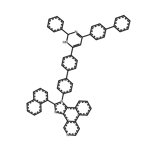 C1=C(c2ccc(-c3ccc(-n4c(-c5cccc6ccccc56)nc5c6cnccc6c6ccccc6c54)cc3)cc2)NC(c2ccccc2)N=C1c1ccc(-c2ccccc2)cc1